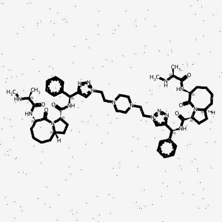 CN[C@@H](C)C(=O)N[C@H]1CCCC[C@H]2CC[C@@H](C(=O)N[C@@H](c3ccccc3)c3cn(CCN4CCN(CCn5cc([C@@H](NC(=O)[C@@H]6CC[C@@H]7CCCC[C@H](NC(=O)[C@H](C)NC)C(=O)N76)c6ccccc6)nn5)CC4)nn3)N2C1=O